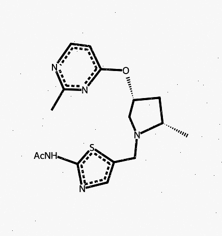 CC(=O)Nc1ncc(CN2C[C@H](Oc3ccnc(C)n3)C[C@@H]2C)s1